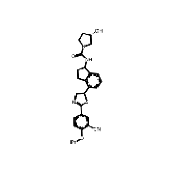 CC(C)Oc1ccc(C2=NCC(c3cccc4c3CCC4NC(=O)N3CC[C@H](O)C3)S2)cc1C#N